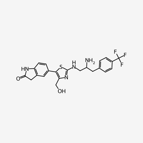 NC(CNc1nc(CO)c(-c2ccc3c(c2)CC(=O)N3)s1)Cc1ccc(C(F)(F)F)cc1